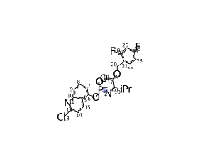 CC(C)[C@H](/N=[P+](\[O-])Oc1cccc2nc(Cl)ccc12)C(=O)OCc1ccc(F)cc1F